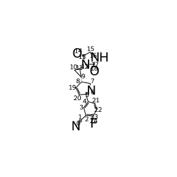 N#Cc1cc(C2=NCC([C@@H]3C[C@H]3N3C(=O)CNC3=O)C=C2)ccc1F